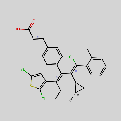 CC/C(=C(\C(=C(/Cl)c1ccccc1C)C1C[C@@H]1C)c1ccc(/C=C/C(=O)O)cc1)c1cc(Cl)sc1Cl